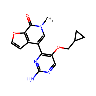 Cn1cc(-c2nc(N)ncc2OCC2CC2)c2ccoc2c1=O